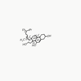 CC[C@H](CC[C@@H](C)[C@H]1C(O)C[C@H]2[C@@H]3C(O)C=C4CC(O)CC[C@]4(C)[C@H]3CC[C@]12C)C(C)C